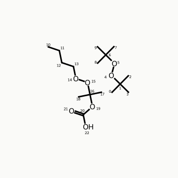 CC(C)(C)OOC(C)(C)C.CCCCOOC(C)(C)OC(=O)O